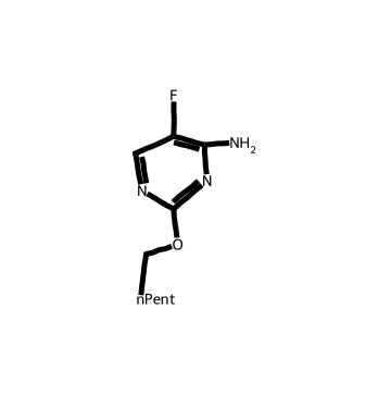 CCCCCCOc1ncc(F)c(N)n1